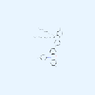 CCCCCCCCC1(CCCCCCCC)c2cc(C)ccc2-c2ccc(-c3ccc4c(c3)Oc3cc(C)ccc3N4c3ccc(C)cc3)cc21